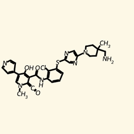 CN1C=C(c2ccncc2)C(O)=C(C(=O)Nc2cccc(Sc3cnc(N4CCC(C)(CN)CC4)cn3)c2Cl)C1=C=O